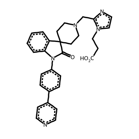 O=C(O)CCn1ccnc1CN1CCC2(CC1)C(=O)N(c1ccc(-c3ccncc3)cc1)c1ccccc12